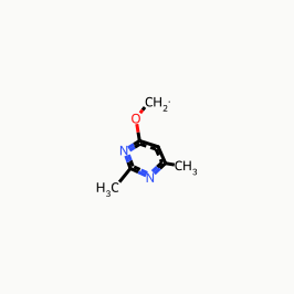 [CH2]Oc1cc(C)nc(C)n1